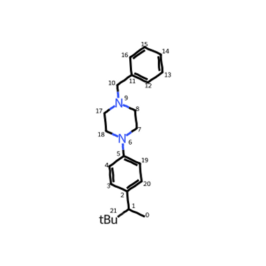 CC(c1ccc(N2CCN(Cc3ccccc3)CC2)cc1)C(C)(C)C